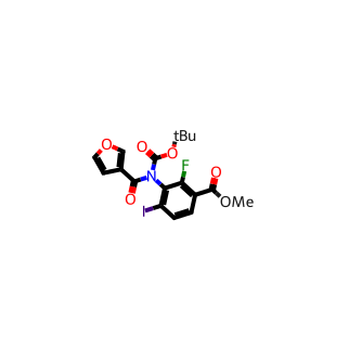 COC(=O)c1ccc(I)c(N(C(=O)OC(C)(C)C)C(=O)c2ccoc2)c1F